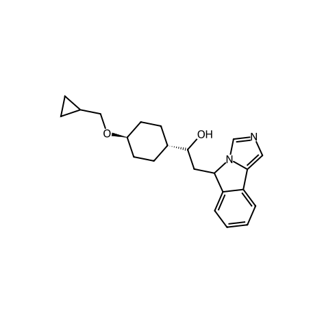 OC(CC1c2ccccc2-c2cncn21)[C@H]1CC[C@H](OCC2CC2)CC1